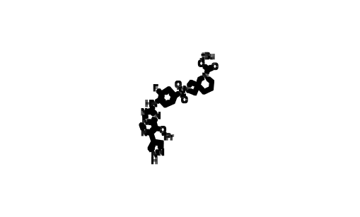 CC(C)Oc1c(-c2cn[nH]c2)ncn2nc(Nc3ccc(S(=O)(=O)N4CC5(CCCN(C(=O)OC(C)(C)C)C5)C4)cc3F)nc12